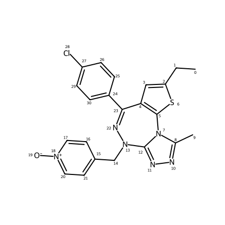 CCc1cc2c(s1)-n1c(C)nnc1N(Cc1cc[n+]([O-])cc1)N=C2c1ccc(Cl)cc1